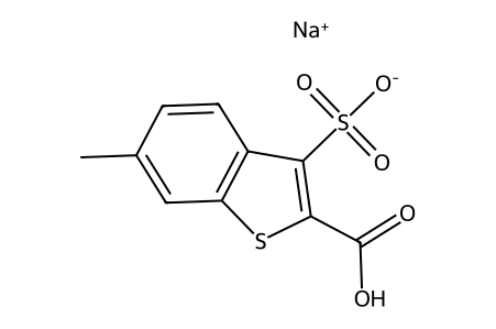 Cc1ccc2c(S(=O)(=O)[O-])c(C(=O)O)sc2c1.[Na+]